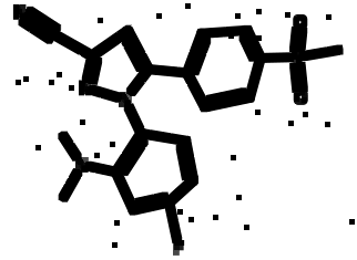 CN(C)c1cc(F)ccc1-n1nc(C#N)cc1-c1ccc(S(C)(=O)=O)cc1